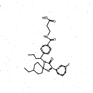 CCCC(c1ccc(C(=O)NCCC(=O)O)cc1)N1C(=O)C(c2cccc(F)c2)=NC12CCC(CC)CC2